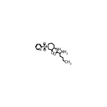 CCCCC(N)C(=O)NC1CCCN(S(=O)(=O)c2ccccn2)CC1=O